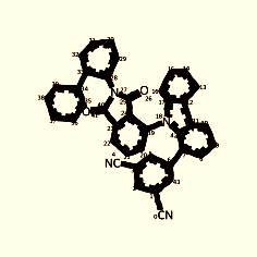 N#Cc1cc(C#N)cc(-c2cccc3c4ccccc4n(-c4cccc5c4C(=O)N(c4ccccc4-c4ccccc4)C5=O)c23)c1